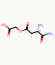 NC(=O)[C@@H](N)CC(=O)OCC(=O)O